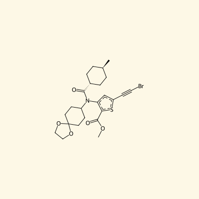 COC(=O)c1sc(C#CBr)cc1N(C(=O)[C@H]1CC[C@H](C)CC1)C1CCC2(CC1)OCCO2